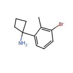 Cc1c(Br)cccc1C1(N)CCC1